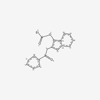 CCC(=O)Oc1c(CC(=O)c2ccccc2)cc2ccccn12